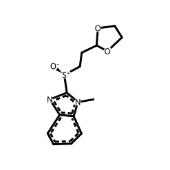 Cn1c([S@@+]([O-])CCC2OCCO2)nc2ccccc21